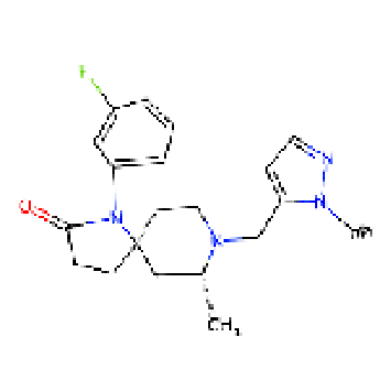 CCCn1nccc1CN1CC[C@@]2(CCC(=O)N2c2cccc(F)c2)C[C@H]1C